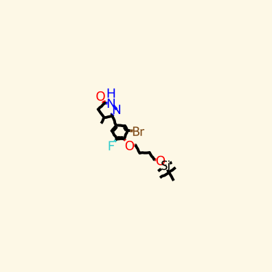 CC1CC(=O)NN=C1c1cc(F)c(OCCCCO[Si](C)(C)C(C)(C)C)c(Br)c1